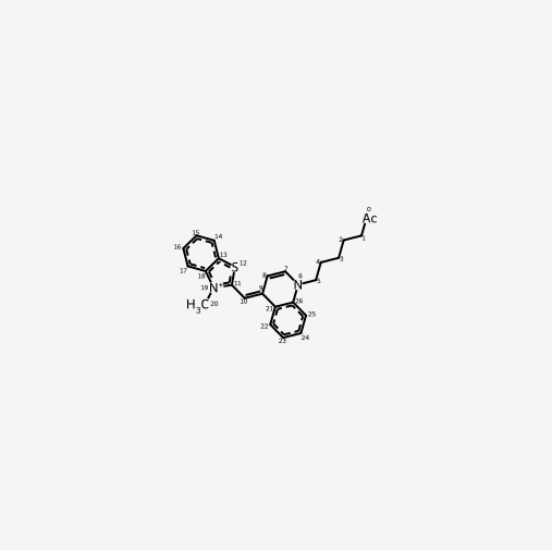 CC(=O)CCCCCN1C=CC(=Cc2sc3ccccc3[n+]2C)c2ccccc21